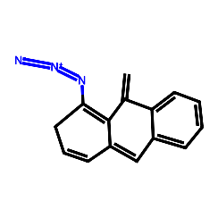 C=c1c2c(cc3ccccc13)C=CCC=2N=[N+]=[N-]